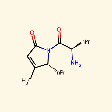 CCC[C@@H](N)C(=O)N1C(=O)C=C(C)[C@H]1CCC